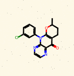 CC1CCc2c(n(-c3cccc(Cl)c3)c3nccnc3c2=O)O1